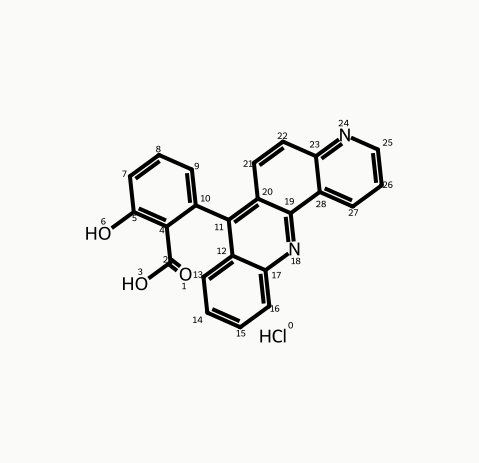 Cl.O=C(O)c1c(O)cccc1-c1c2ccccc2nc2c1ccc1ncccc12